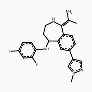 C/C(N)=C1/NCCC(Nc2ccc(F)cc2F)c2cc(-c3cnn(C)c3)ccc21